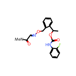 CNC(=O)C=NOCc1ccccc1C(C)OC(=O)Nc1ccccc1F